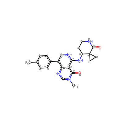 Cn1cnc2c(-c3ccc(C(F)(F)F)cc3)cnc(NC3CCNC(=O)C34CC4)c2c1=O